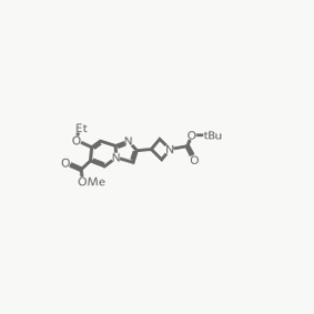 CCOc1cc2nc(C3CN(C(=O)OC(C)(C)C)C3)cn2cc1C(=O)OC